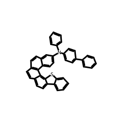 c1ccc(-c2ccc(N(c3ccccc3)c3ccc4c(ccc5ccc6ccc7c8ccccc8sc7c6c54)c3)cc2)cc1